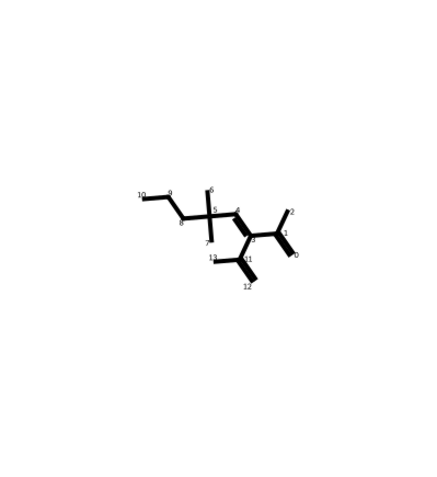 C=C(C)C(=CC(C)(C)CCC)C(=C)C